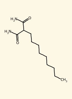 CCCCCCCCCC(C(N)=O)C(N)=O